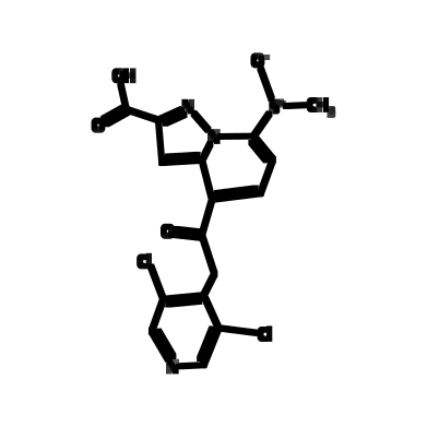 C[S+]([O-])c1ccc(C(=O)Cc2c(Cl)cncc2Cl)c2cc(C(=O)O)nn12